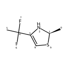 C[C@@H]1NC(C(C)(F)F)=CS1